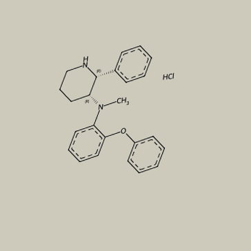 CN(c1ccccc1Oc1ccccc1)[C@@H]1CCCN[C@@H]1c1ccccc1.Cl